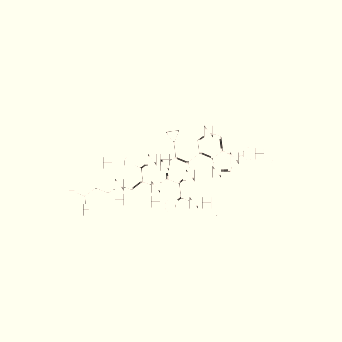 CC(=N)/C(=C\NCCC(F)F)Nc1nc(C2CC2)c(-c2cncc3c2ncn3C)nc1C(N)=O